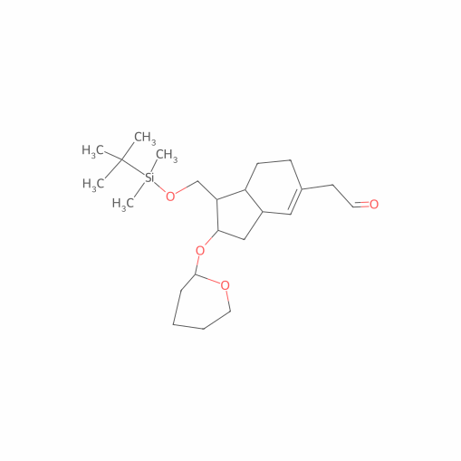 CC(C)(C)[Si](C)(C)OCC1C(OC2CCCCO2)CC2C=C(CC=O)CCC21